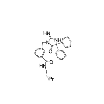 CC(C)CCNC(=O)c1cccc(CN2C(=N)NC(c3ccccc3)(c3ccccc3)C2=O)c1